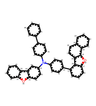 c1ccc(-c2ccc(N(c3ccc(-c4cccc5oc6c7ccccc7ccc6c45)cc3)c3ccc4oc5ccccc5c4c3)cc2)cc1